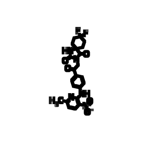 Cc1ccc([N+](=O)[O-])c(Nc2ccc(C(=O)CN3C(=O)NC4(CCC(F)(F)CC4)C3=O)cc2)n1